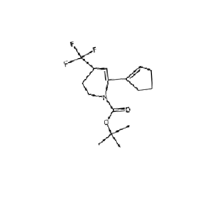 CC(C)(C)OC(=O)N1CCC(C(F)(F)F)C=C1C1=CCCC1